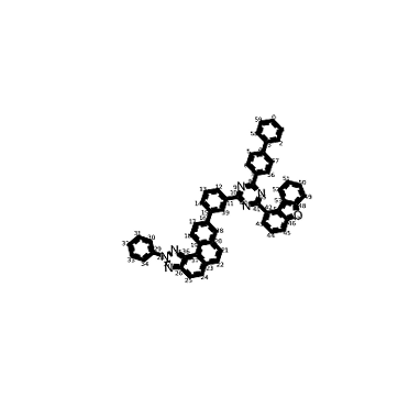 c1ccc(-c2ccc(-c3nc(-c4cccc(-c5ccc6c(ccc7ccc8nn(-c9ccccc9)nc8c76)c5)c4)nc(-c4cccc5oc6ccccc6c45)n3)cc2)cc1